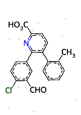 Cc1ccccc1-c1ccc(C(=O)O)nc1-c1ccc(Cl)c(C=O)c1